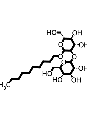 CCCCCCCCCCOC1O[C@H](CO)[C@@H](O)[C@H](O)[C@H]1OC1O[C@H](CO)[C@@H](O)[C@H](O)[C@H]1O